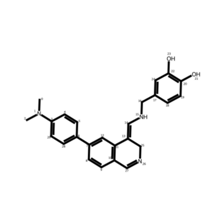 CN(C)c1ccc(-c2ccc3c(c2)C(=CNCc2ccc(O)c(O)c2)CN=C3)cc1